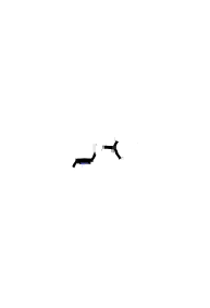 CC/C=C/NC(C)C(=O)O